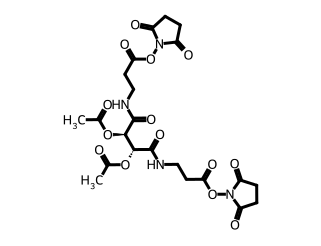 CC(=O)O[C@@H](C(=O)NCCC(=O)ON1C(=O)CCC1=O)[C@@H](OC(C)=O)C(=O)NCCC(=O)ON1C(=O)CCC1=O